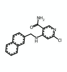 NC(=O)c1cnc(Cl)cc1NCc1ccc2ccccc2c1